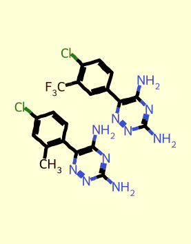 Cc1cc(Cl)ccc1-c1nnc(N)nc1N.Nc1nnc(-c2ccc(Cl)c(C(F)(F)F)c2)c(N)n1